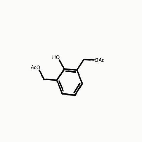 CC(=O)OCc1cccc(COC(C)=O)c1O